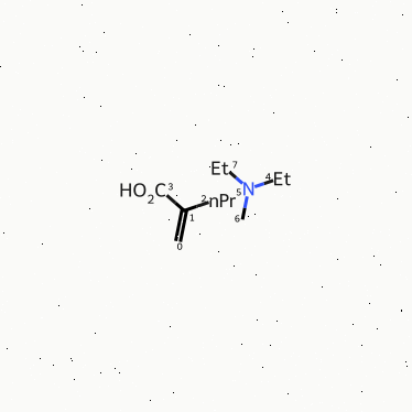 C=C(CCC)C(=O)O.CCN(C)CC